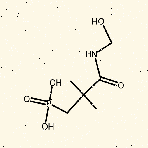 CC(C)(CP(=O)(O)O)C(=O)NCO